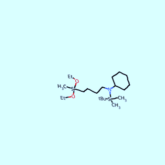 CCO[Si](C)(CCCCN(C1CCCCC1)[Si](C)(C)C(C)(C)C)OCC